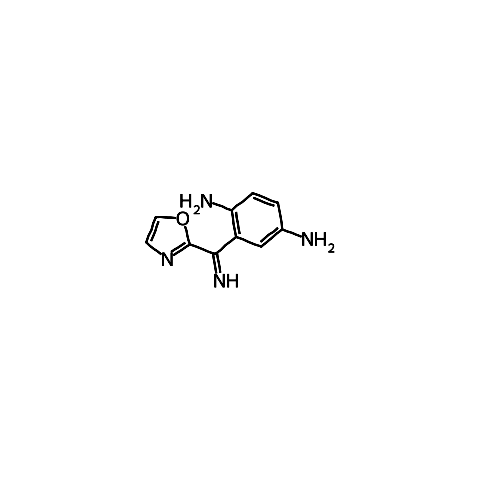 N=C(c1ncco1)c1cc(N)ccc1N